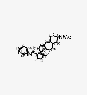 CNC1CCC2=C/C(=C/CC3(C)C(C)CCC3C(=O)Nc3cccnc3)[C@H](O)CCC2C1